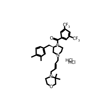 Cc1ccc(C[C@@H]2CN(CC=CCN3CCOCC3(C)C)CCN2C(=O)c2cc(C(F)(F)F)cc(C(F)(F)F)c2)cc1C.Cl.Cl